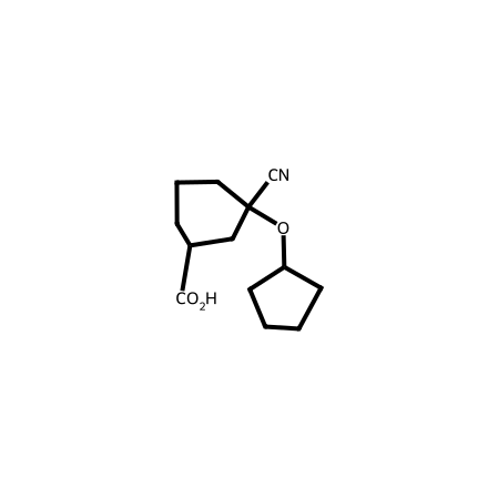 N#CC1(OC2CCCC2)CCCC(C(=O)O)C1